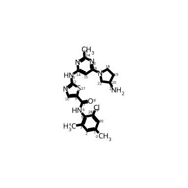 Cc1cc(C)c(NC(=O)c2cnc(Nc3cc(N4CCC(N)C4)nc(C)n3)s2)c(Cl)c1